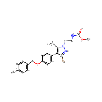 CCOC(=O)c1c(-c2ccc(OCc3ccc(C(C)C)cc3)cc2)c(Br)nn1CCNC(=O)OC(C)(C)C